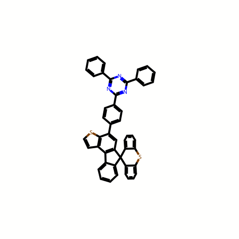 c1ccc(-c2nc(-c3ccccc3)nc(-c3ccc(-c4cc5c(c6ccsc46)-c4ccccc4C54c5ccccc5Sc5ccccc54)cc3)n2)cc1